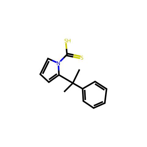 CC(C)(c1ccccc1)c1cccn1C(=S)S